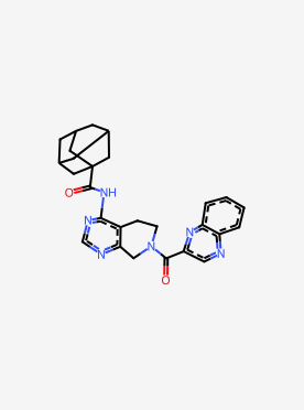 O=C(c1cnc2ccccc2n1)N1CCc2c(ncnc2NC(=O)C23CC4CC(CC(C4)C2)C3)C1